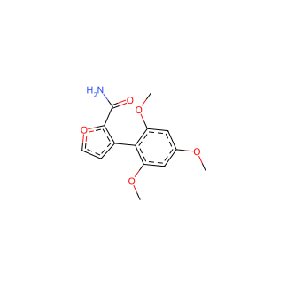 COc1cc(OC)c(-c2ccoc2C(N)=O)c(OC)c1